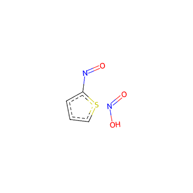 O=NO.O=Nc1cccs1